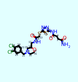 NC(=O)CCC(=O)Nc1nnc(SCC(=O)NCC2CN(Cc3ccc(Cl)c(Cl)c3)CCO2)s1